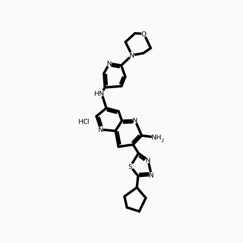 Cl.Nc1nc2cc(Nc3ccc(N4CCOCC4)nc3)cnc2cc1-c1nnc(C2CCCC2)s1